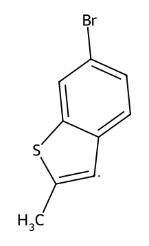 Cc1[c]c2ccc(Br)cc2s1